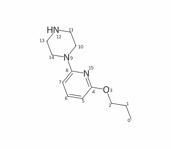 CCCOc1cccc(N2CCNCC2)n1